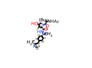 CC(=O)NC(C(=O)N1C[C@H](O)[C@H](F)[C@H]1C(=O)NN(C)c1ccc(-c2scnc2C)cc1)C(C)(C)C